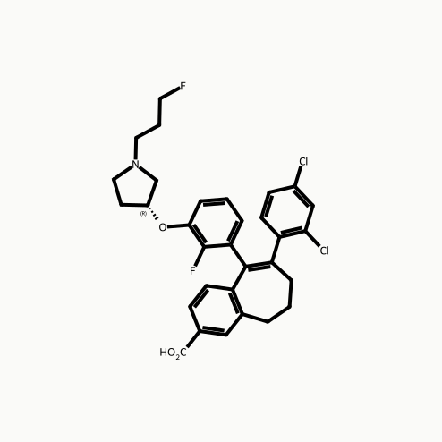 O=C(O)c1ccc2c(c1)CCCC(c1ccc(Cl)cc1Cl)=C2c1cccc(O[C@@H]2CCN(CCCF)C2)c1F